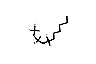 CCCCCCC(F)(F)CC(F)(F)CC(F)(F)F